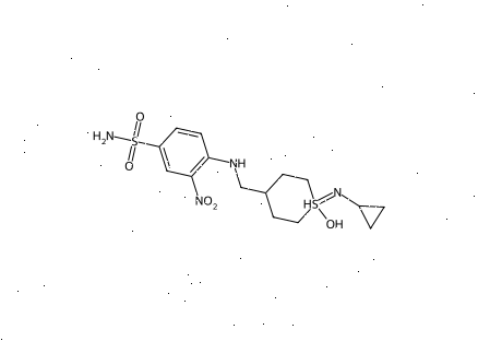 NS(=O)(=O)c1ccc(NCC2CC[SH](O)(=NC3CC3)CC2)c([N+](=O)[O-])c1